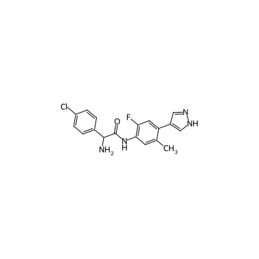 Cc1cc(NC(=O)C(N)c2ccc(Cl)cc2)c(F)cc1-c1cn[nH]c1